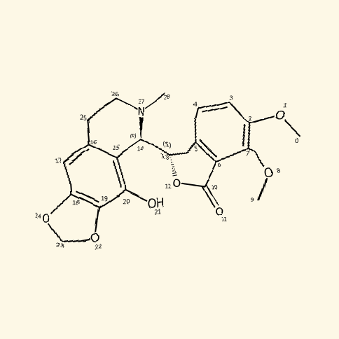 COc1ccc2c(c1OC)C(=O)O[C@@H]2[C@H]1c2c(cc3c(c2O)OCO3)CCN1C